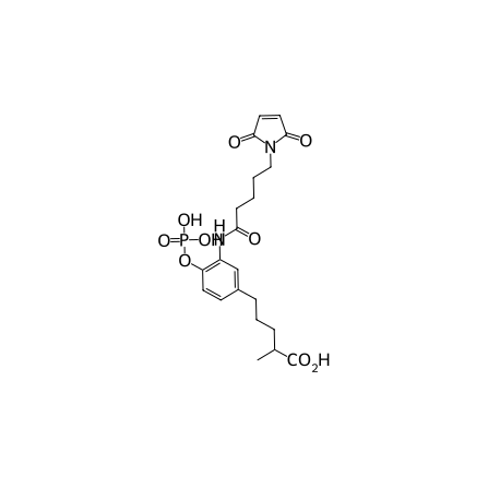 CC(CCCc1ccc(OP(=O)(O)O)c(NC(=O)CCCCN2C(=O)C=CC2=O)c1)C(=O)O